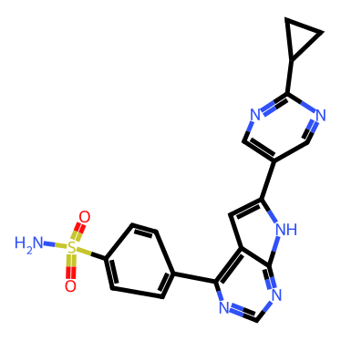 NS(=O)(=O)c1ccc(-c2ncnc3[nH]c(-c4cnc(C5CC5)nc4)cc23)cc1